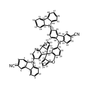 N#Cc1ccc2c(c1)c1ccccc1n2-c1cnc2c(c1)C1(c3ccccc3Oc3ccc(-n4c5ccc(C#N)cc5c5cc(-n6c7ccccc7c7ccccc76)ccc54)cc31)c1cccnc1-2